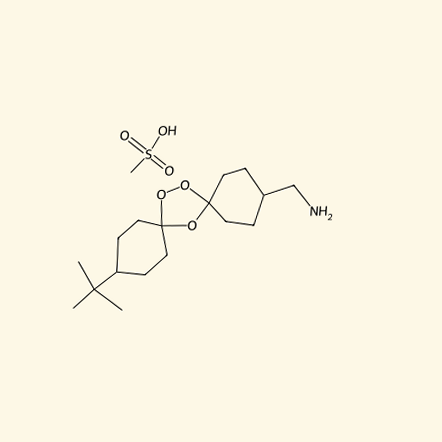 CC(C)(C)C1CCC2(CC1)OOC1(CCC(CN)CC1)O2.CS(=O)(=O)O